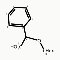 CCCCCCOC(C(=O)O)c1ccccc1